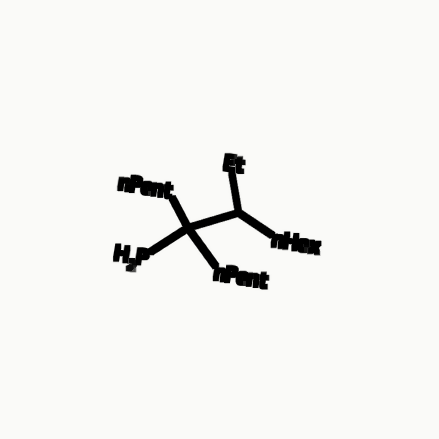 CCCCCCC(CC)C(P)(CCCCC)CCCCC